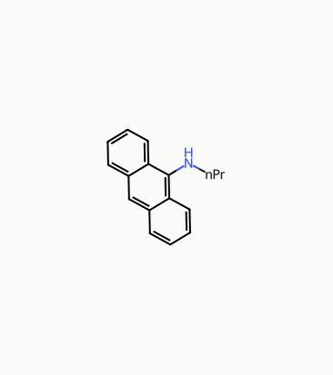 [CH2]CCNc1c2ccccc2cc2ccccc12